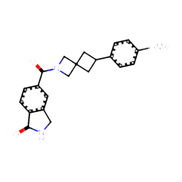 COc1ccc(C2CC3(C2)CN(C(=O)c2ccc4c(c2)CNC4=O)C3)cc1